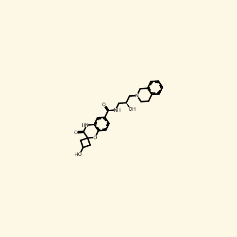 O=C(NC[C@H](O)CN1CCc2ccccc2C1)c1ccc2c(c1)NC(=O)C1(CC(O)C1)O2